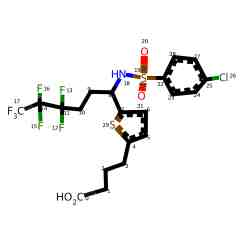 O=C(O)CCCc1ccc(C(CCC(F)(F)C(F)(F)C(F)(F)F)NS(=O)(=O)c2ccc(Cl)cc2)s1